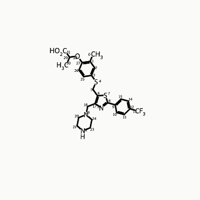 Cc1cc(SCc2sc(-c3ccc(C(F)(F)F)cc3)nc2CN2CCNCC2)ccc1OC(C)C(=O)O